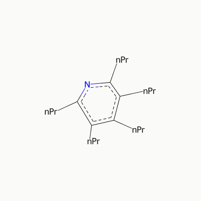 CCCc1nc(CCC)c(CCC)c(CCC)c1CCC